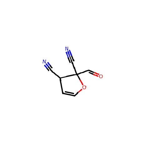 N#CC1C=COC1(C#N)C=O